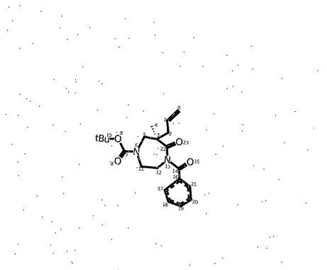 C=CC[C@]1(C)CN(C(=O)OC(C)(C)C)CCN(C(=O)c2ccccc2)C1=O